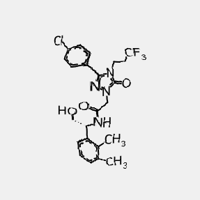 Cc1cccc([C@H](CO)NC(=O)Cn2nc(-c3ccc(Cl)cc3)n(CCC(F)(F)F)c2=O)c1C